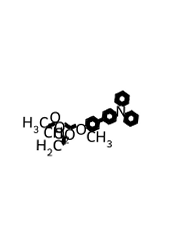 C=CC(=O)OC(COC(=O)C(=C)C)COc1ccc(-c2ccc(N(c3ccccc3)c3ccccc3)cc2)cc1C